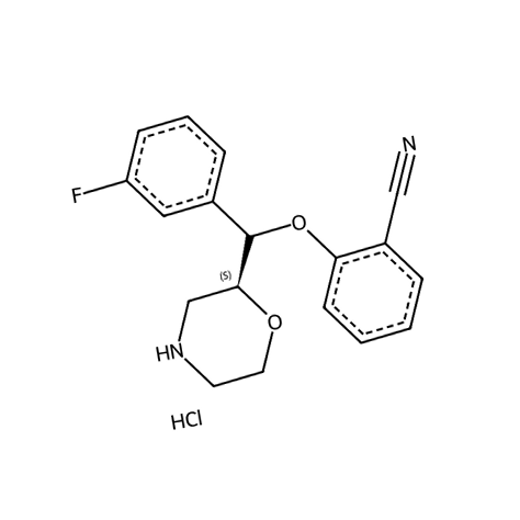 Cl.N#Cc1ccccc1OC(c1cccc(F)c1)[C@@H]1CNCCO1